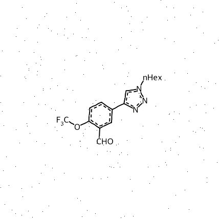 CCCCCCn1cc(-c2ccc(OC(F)(F)F)c(C=O)c2)nn1